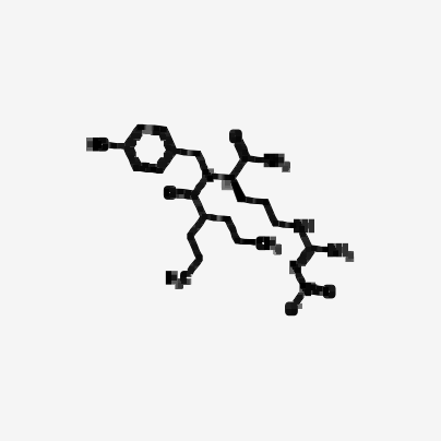 CCCC(CCC)C(=O)N(Cc1ccc(O)cc1)[C@H](CCCNC(N)=N[N+](=O)[O-])C(N)=O